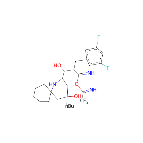 CCCCC1(O)CC(C(O)C(Cc2cc(F)cc(F)c2)C(=N)OC(=N)C(F)(F)F)NC2(CCCCC2)C1